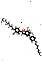 CCCCCCCc1ccc(-c2cc3cc(-c4ccc(CCCCCCC)c(F)c4F)oc3c(F)c2F)cc1